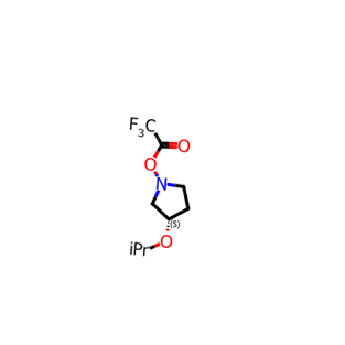 CC(C)O[C@H]1CCN(OC(=O)C(F)(F)F)C1